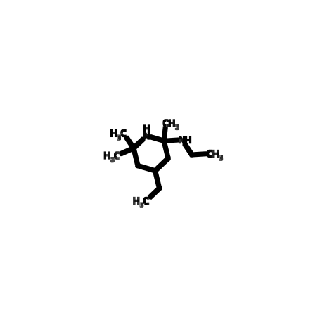 CCNC1(C)CC(CC)CC(C)(C)N1